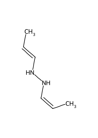 C/C=C\NN/C=C/C